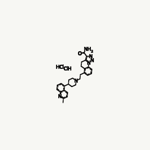 Cc1ccc2c(C3CCN(CCc4cccc5c4CCc4c(C(N)=O)nnn4-5)CC3)cccc2n1.Cl.Cl